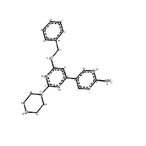 Nc1ncc(-c2cc(OCc3ccccc3)nc(N3CCOCC3)n2)cn1